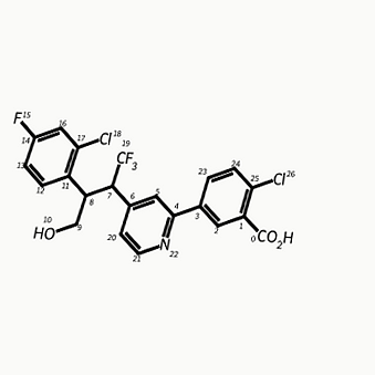 O=C(O)c1cc(-c2cc(C(C(CO)c3ccc(F)cc3Cl)C(F)(F)F)ccn2)ccc1Cl